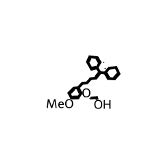 COc1ccc(CCCC=C(C2=CC=CC[CH]2)c2[c]cccc2)c(OCCO)c1